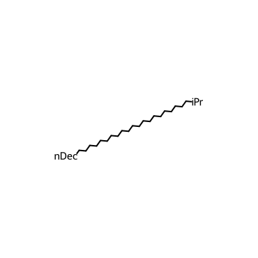 [CH2]CCCCCCCCCCCCCCCCCCCCCCCCCCCCCCC(C)C